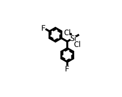 C[Si](Cl)(Cl)C(c1ccc(F)cc1)c1ccc(F)cc1